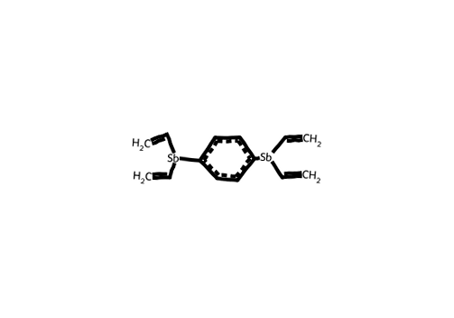 C=[CH][Sb]([CH]=C)[c]1cc[c]([Sb]([CH]=C)[CH]=C)cc1